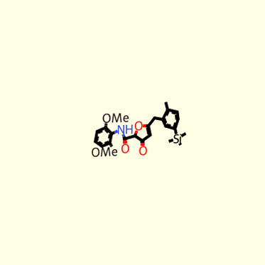 COc1cccc(OC)c1NC(=O)C1OC(Cc2cc([Si](C)(C)C)ccc2C)=CC1=O